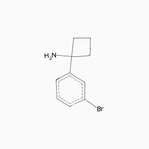 NC1(c2cccc(Br)c2)CCC1